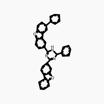 c1ccc(-c2ccc3oc4ccc(C5=NC(c6ccc7c(c6)oc6ccccc67)=NC(c6ccccc6)N5)cc4c3c2)cc1